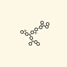 CC1(C)c2ccccc2-c2ccc(N(c3ccc(N(c4ccccc4)c4ccc5ccccc5c4)cc3)c3ccc4c(c3)C(C)(C)c3cc(-c5ccc6c(c5)c5ccccc5n6-c5cccc6ccccc56)ccc3-4)cc21